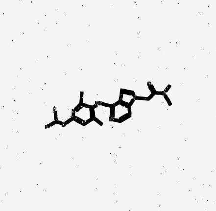 Cc1cc(OC(F)F)nc(C)c1Nc1nccc2c1ccn2CC(=O)N(C)C